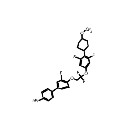 CCCc1ccc(-c2ccc(OCC(F)(F)Oc3cc(F)c(C4CCC(OC(F)(F)F)CC4)c(F)c3)c(F)c2)cc1